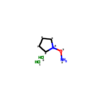 Cl.Cl.NON1CCCC1